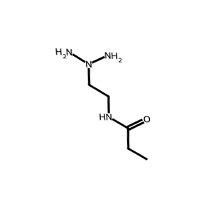 CCC(=O)NCCN(N)N